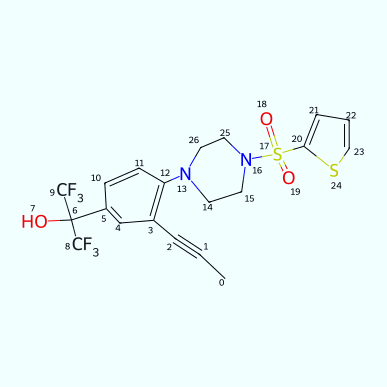 CC#Cc1cc(C(O)(C(F)(F)F)C(F)(F)F)ccc1N1CCN(S(=O)(=O)c2cccs2)CC1